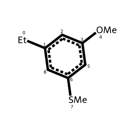 CCc1cc(OC)cc(SC)c1